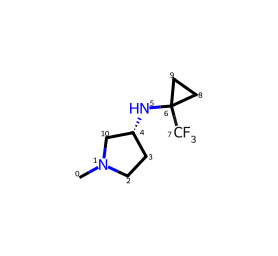 CN1CC[C@@H](NC2(C(F)(F)F)CC2)C1